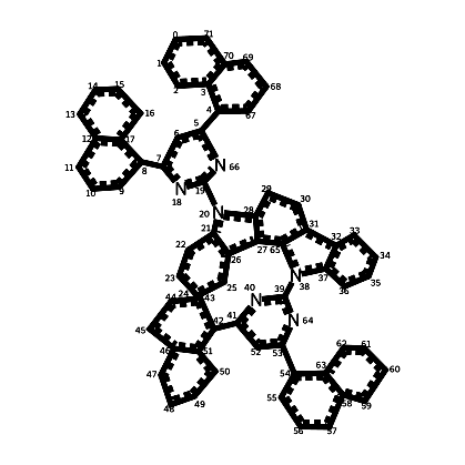 c1ccc2c(-c3cc(-c4cccc5ccccc45)nc(-n4c5ccccc5c5c4ccc4c6ccccc6n(-c6nc(-c7cccc8ccccc78)cc(-c7cccc8ccccc78)n6)c45)n3)cccc2c1